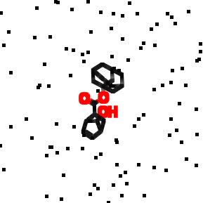 O=C(OC12CC3CC(CC(C3)C1)C2)C1CC2C=CC1C2O